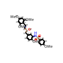 COc1ccc(S(=O)(=O)Nc2cc(C[S+]([O-])/C=C/c3c(OC)cc(OC)cc3OC)ccc2OC)cc1